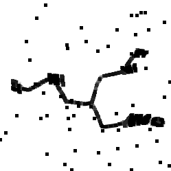 CCNCC(CNC)CNC(C)C